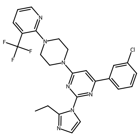 CCc1nccn1-c1nc(-c2cccc(Cl)c2)cc(N2CCN(c3ncccc3C(F)(F)F)CC2)n1